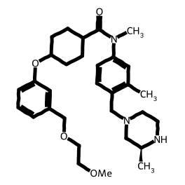 COCCOCc1cccc(OC2CCC(C(=O)N(C)c3ccc(CN4CCN[C@@H](C)C4)c(C)c3)CC2)c1